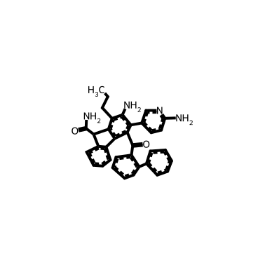 CCCc1c(N)c(-c2ccc(N)nc2)c(C(=O)c2ccccc2-c2ccccc2)c2c1C(C(N)=O)c1ccccc1-2